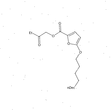 CCCCCCCCCCCCCCOc1ccc(C(=O)OCC(=O)CC)o1